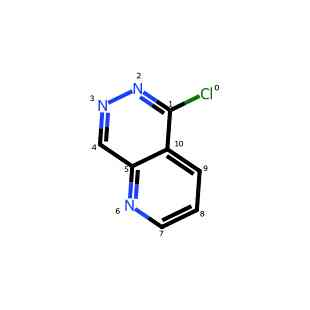 Clc1nncc2ncccc12